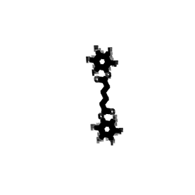 O=C(CCCCC(=O)Oc1c(F)c(F)c(F)c(F)c1F)Oc1c(F)c(F)c(F)c(F)c1F